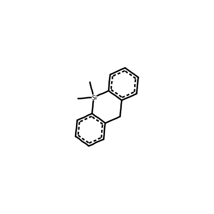 C[Si]1(C)c2ccccc2Cc2ccccc21